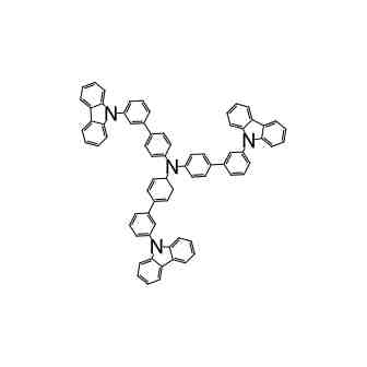 C1=CC(N(c2ccc(-c3cccc(-n4c5ccccc5c5ccccc54)c3)cc2)c2ccc(-c3cccc(-n4c5ccccc5c5ccccc54)c3)cc2)CC=C1c1cccc(-n2c3ccccc3c3ccccc32)c1